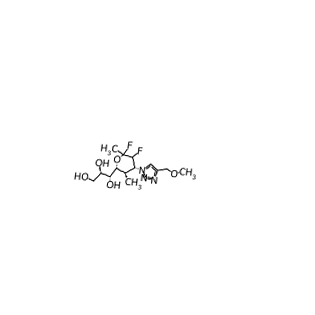 COCc1cn([C@H]2C(F)C(C)(F)O[C@@H]([C@H](O)[C@H](O)CO)[C@@H]2C)nn1